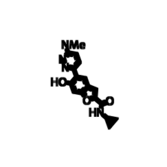 CNc1ccc(-c2cc3cc(C(=O)NC4CC4)oc3cc2O)nn1